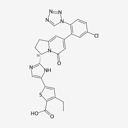 CCc1cc(-c2cnc([C@@H]3CCc4cc(-c5cc(Cl)ccc5-n5cnnn5)cc(=O)n43)[nH]2)sc1C(=O)O